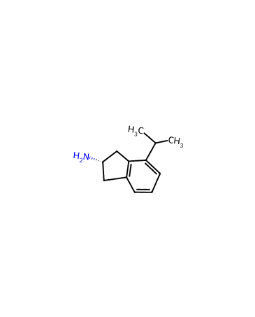 CC(C)c1cccc2c1C[C@@H](N)C2